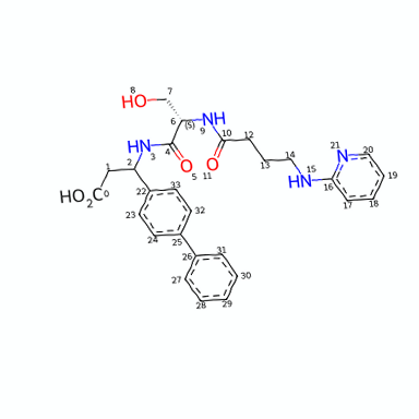 O=C(O)CC(NC(=O)[C@H](CO)NC(=O)CCCNc1ccccn1)c1ccc(-c2ccccc2)cc1